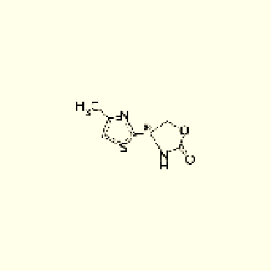 Cc1csc([C@H]2COC(=O)N2)n1